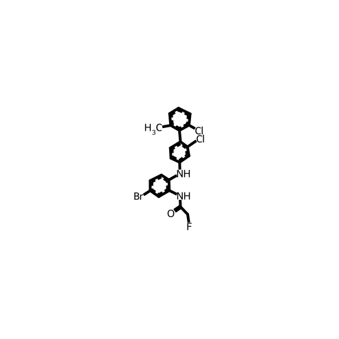 Cc1cccc(Cl)c1-c1ccc(Nc2ccc(Br)cc2NC(=O)CF)cc1Cl